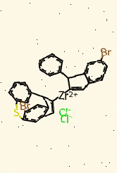 Brc1ccc2c(c1)C(c1ccccc1)[C]([Zr+2][C]1=Cc3cc4c(Br)cc3C1c1cccc(c1)S4)=C2.[Cl-].[Cl-]